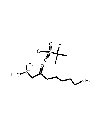 CCCCCCC(=O)C[S+](C)C.O=S(=O)([O-])C(F)(F)F